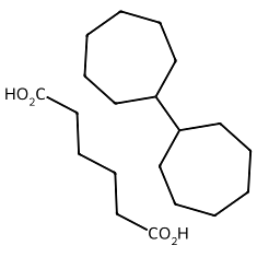 C1CCCC(C2CCCCCC2)CC1.O=C(O)CCCCC(=O)O